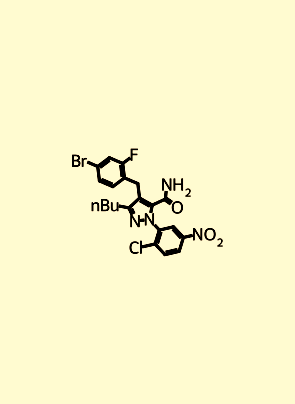 CCCCc1nn(-c2cc([N+](=O)[O-])ccc2Cl)c(C(N)=O)c1Cc1ccc(Br)cc1F